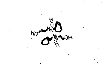 OCC/N=N/C1(O)CCCCC1.OCCNN=C1CCCCC1